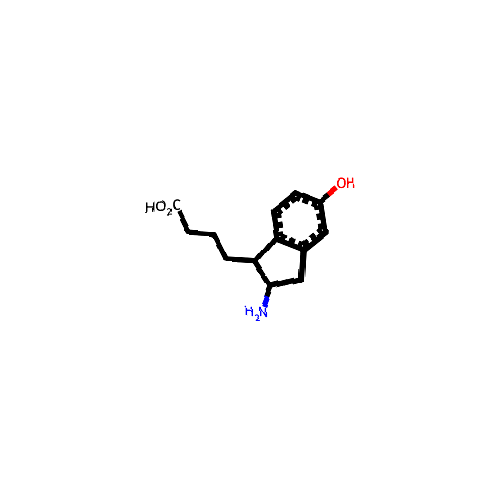 NC1Cc2cc(O)ccc2C1CCCC(=O)O